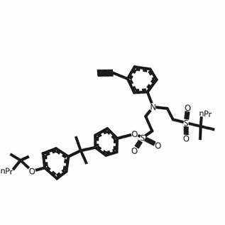 C#Cc1cccc(N(CCS(=O)(=O)Oc2ccc(C(C)(C)c3ccc(OC(C)(C)CCC)cc3)cc2)CCS(=O)(=O)C(C)(C)CCC)c1